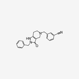 N#Cc1cccc(CN2CCc3[nH]n(Cc4ccccc4)c(=O)c3C2)c1